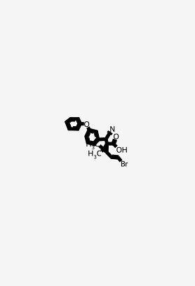 CC1(C)C(C=CBr)C1(C(=O)O)C(C#N)c1cccc(Oc2ccccc2)c1